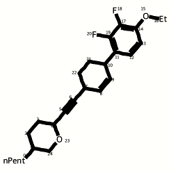 CCCCCC1CCC(C#CC2C=CC(c3ccc(OCC)c(F)c3F)CC2)OC1